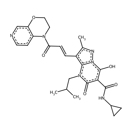 Cc1nn2c(O)c(C(=O)NC3CC3)c(=O)n(CC(C)C)c2c1C=CC(=O)N1CCOc2cnccc21